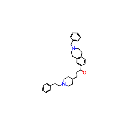 O=C(CCC1CCN(CCc2ccccc2)CC1)c1ccc2c(c1)CCN(Cc1ccccc1)CC2